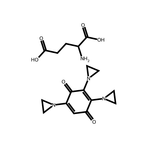 NC(CCC(=O)O)C(=O)O.O=C1C=C(N2CC2)C(=O)C(N2CC2)=C1N1CC1